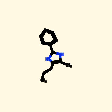 CCCC1=C(C)NC(c2ccccc2)N1